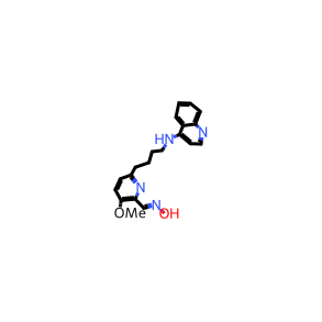 COc1ccc(CCCCNc2ccnc3ccccc23)nc1C=NO